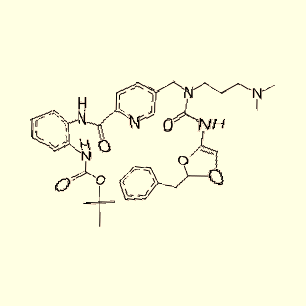 CN(C)CCCN(Cc1ccc(C(=O)Nc2ccccc2NC(=O)OC(C)(C)C)nc1)C(=O)NC1=COC(Cc2ccccc2)O1